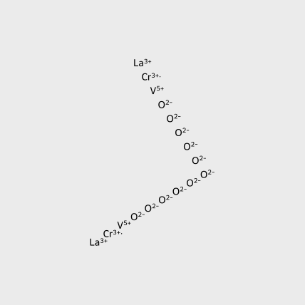 [Cr+3].[Cr+3].[La+3].[La+3].[O-2].[O-2].[O-2].[O-2].[O-2].[O-2].[O-2].[O-2].[O-2].[O-2].[O-2].[V+5].[V+5]